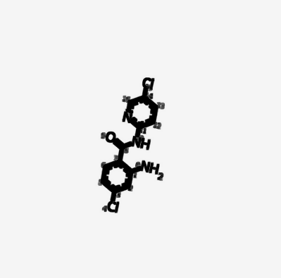 Nc1cc(Cl)ccc1C(=O)Nc1ccc(Cl)cn1